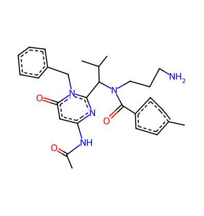 CC(=O)Nc1cc(=O)n(Cc2ccccc2)c(C(C(C)C)N(CCCN)C(=O)c2ccc(C)cc2)n1